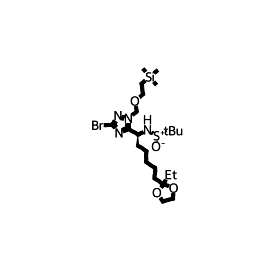 CCC1(CCCCC[C@H](N[S@+]([O-])C(C)(C)C)c2nc(Br)nn2COCC[Si](C)(C)C)OCCO1